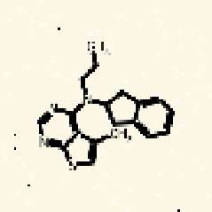 CCCN(c1ncnc2scc(C)c12)C1Cc2ccccc2C1